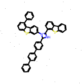 c1ccc(-c2ccc(-c3ccc(C4NC(c5cccc6c5sc5ccccc56)=[N+]4c4ccc5c(c4)sc4cccc(-c6ccccc6)c45)cc3)cc2)cc1